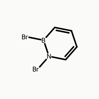 BrB1C=CC=CN1Br